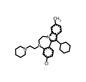 Cc1ccc2c(C3CCCCC3)c3n(c2c1)CCN(CCN1CCCCC1)c1cc(Cl)ccc1-3